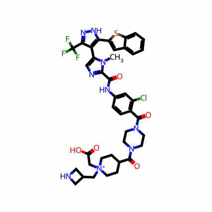 Cn1c(-c2c(C(F)(F)F)n[nH]c2-c2cc3ccccc3s2)cnc1C(=O)Nc1ccc(C(=O)N2CCN(C(=O)C3CC[N+](CC(=O)O)(CC4CNC4)CC3)CC2)c(Cl)c1